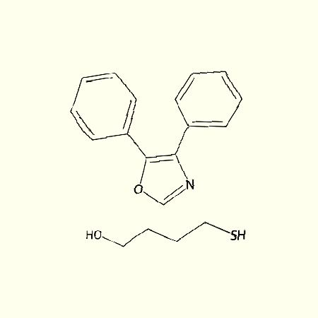 OCCCCS.c1ccc(-c2ncoc2-c2ccccc2)cc1